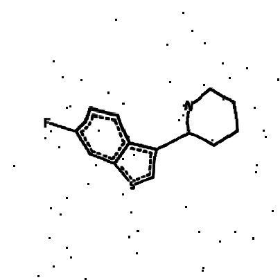 Fc1ccc2c(C3CCCC[N]3)csc2c1